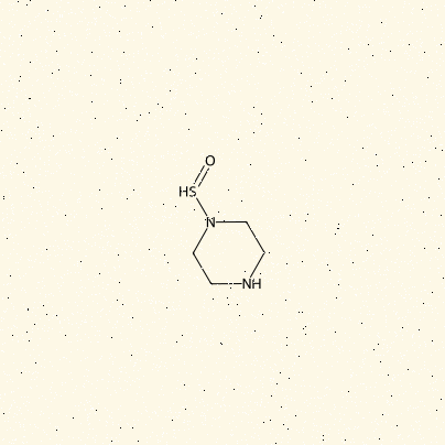 O=[SH]N1CCNCC1